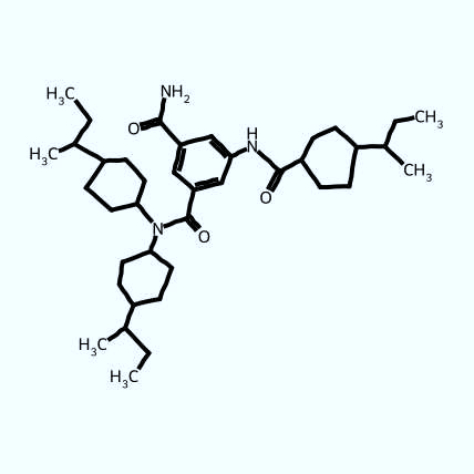 CCC(C)C1CCC(C(=O)Nc2cc(C(N)=O)cc(C(=O)N(C3CCC(C(C)CC)CC3)C3CCC(C(C)CC)CC3)c2)CC1